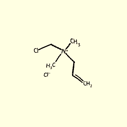 C=CC[N+](C)(C)CCl.[Cl-]